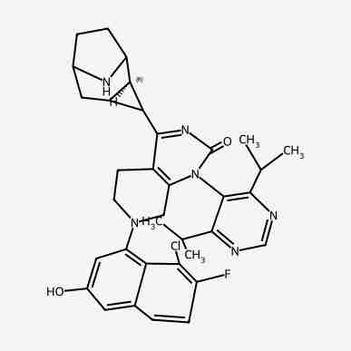 CC(C)c1ncnc(C(C)C)c1-n1c2c(c(C3C4CC5CCC(N5)[C@H]43)nc1=O)CCN(c1cc(O)cc3ccc(F)c(Cl)c13)C2